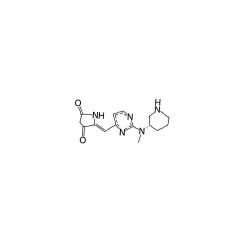 CN(c1nccc(/C=C2\NC(=O)CC2=O)n1)[C@H]1CCCNC1